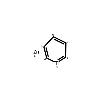 C1=C[CH]=[Tl][CH]=C1.[Zn]